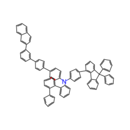 c1ccc(-c2ccccc2-c2ccccc2N(c2ccc(-c3ccc(-c4cccc(-c5ccc6ccccc6c5)c4)cc3)cc2)c2ccc(-c3cccc4c3-c3ccccc3C4(c3ccccc3)c3ccccc3)cc2)cc1